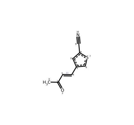 CC(=O)/C=C/c1csc(C#N)c1